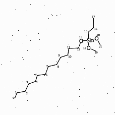 CCCCCCCCCCCCCO[Si](CCC)(OC)OC